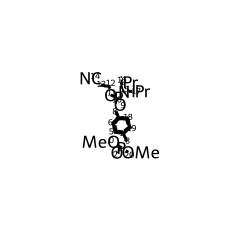 COP(=O)(Cc1ccc(COP(OCCC#N)N(C(C)C)C(C)C)cc1)OC